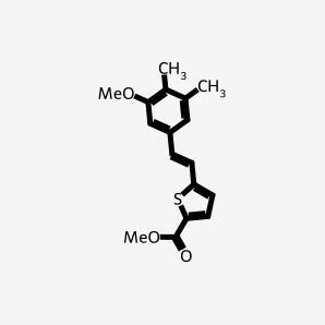 COC(=O)c1ccc(/C=C/c2cc(C)c(C)c(OC)c2)s1